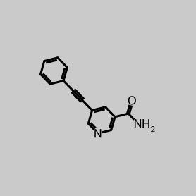 NC(=O)c1cncc(C#Cc2ccccc2)c1